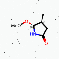 COO[C@H]1NC(=O)C[C@@H]1C